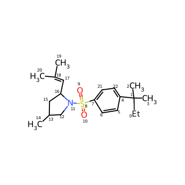 CCC(C)(C)c1ccc(S(=O)(=O)N2CC(C)CC2C=C(C)C)cc1